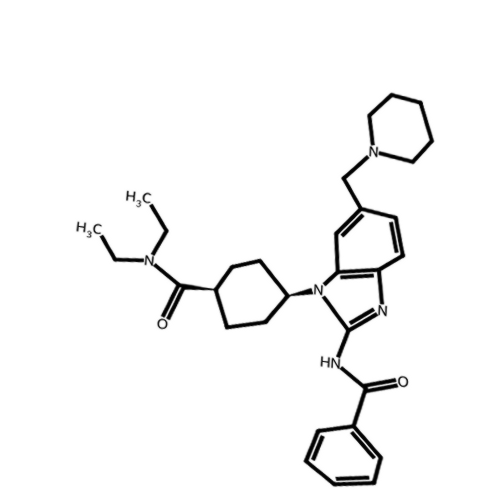 CCN(CC)C(=O)[C@H]1CC[C@@H](n2c(NC(=O)c3ccccc3)nc3ccc(CN4CCCCC4)cc32)CC1